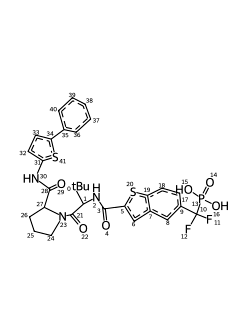 CC(C)(C)C(NC(=O)c1cc2cc(C(F)(F)P(=O)(O)O)ccc2s1)C(=O)N1CCCC1C(=O)Nc1ccc(-c2ccccc2)s1